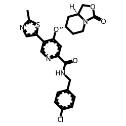 Cc1ncc(-c2cnc(C(=O)NCc3ccc(Cl)cc3)cc2O[C@H]2CCN3C(=O)OC[C@@H]3C2)s1